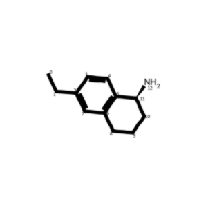 CCc1ccc2c(c1)CCC[C@@H]2N